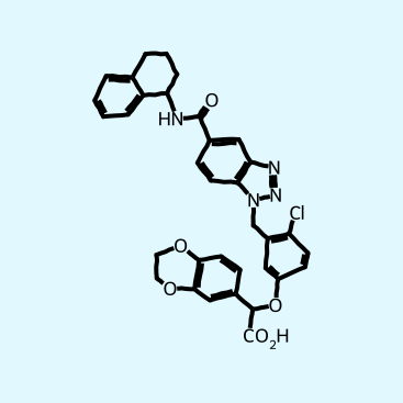 O=C(NC1CCCc2ccccc21)c1ccc2c(c1)nnn2Cc1cc(OC(C(=O)O)c2ccc3c(c2)OCCO3)ccc1Cl